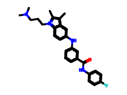 Cc1c(C)n(CCCN(C)C)c2ccc(Nc3cccc(C(=O)Nc4ccc(F)cc4)c3)cc12